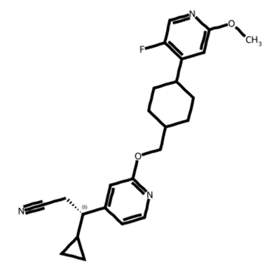 COc1cc(C2CCC(COc3cc([C@@H](CC#N)C4CC4)ccn3)CC2)c(F)cn1